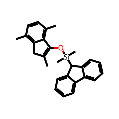 CC1=C(O[Si](C)(C)C2c3ccccc3-c3ccccc32)c2c(C)ccc(C)c2C1